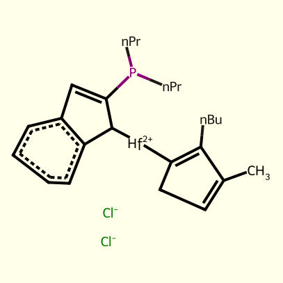 CCCCC1=[C]([Hf+2][CH]2C(P(CCC)CCC)=Cc3ccccc32)CC=C1C.[Cl-].[Cl-]